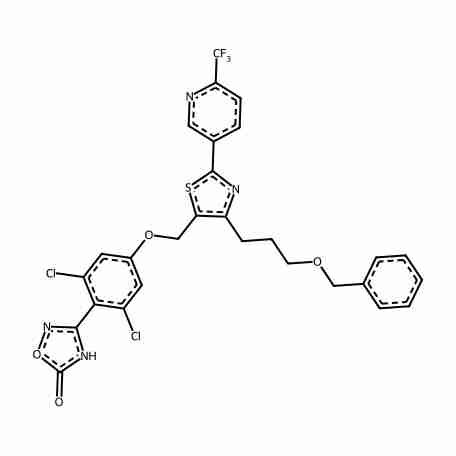 O=c1[nH]c(-c2c(Cl)cc(OCc3sc(-c4ccc(C(F)(F)F)nc4)nc3CCCOCc3ccccc3)cc2Cl)no1